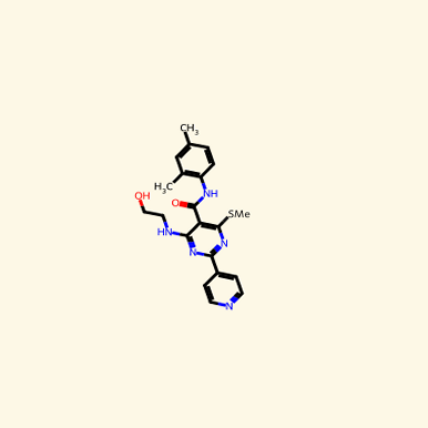 CSc1nc(-c2ccncc2)nc(NCCO)c1C(=O)Nc1ccc(C)cc1C